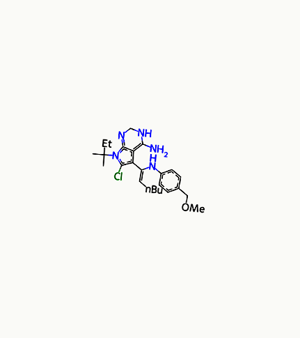 CCCC/C=C(\Nc1ccc(COC)cc1)c1c(Cl)n(C(C)(C)CC)c2c1=C(N)NCN=2